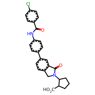 O=C(Nc1ccc(-c2ccc3c(c2)C(=O)N(C2CCCC2C(=O)O)C3)cc1)c1ccc(Cl)cc1